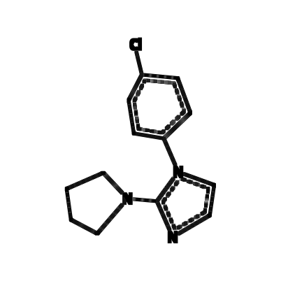 Clc1ccc(-n2ccnc2N2CCCC2)cc1